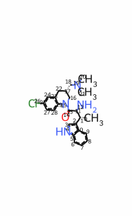 C[C@H](c1c[nH]c2ccccc12)[C@H](N)C(=O)N1C[C@@H](CN(C)C)Cc2cc(Cl)ccc21